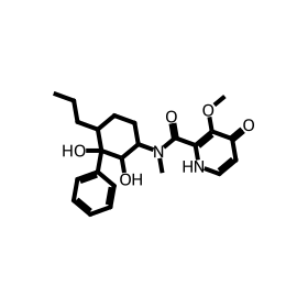 CCCC1CCC(N(C)C(=O)c2[nH]ccc(=O)c2OC)C(O)C1(O)c1ccccc1